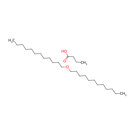 CCCC(=O)O.CCCCCCCCCCCCOCCCCCCCCCCCC